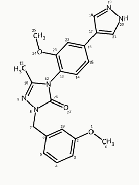 COc1cccc(Cn2nc(C)n(-c3ccc(-c4cn[nH]c4)cc3OC)c2=O)c1